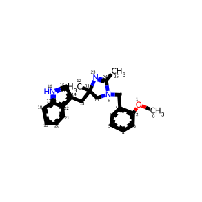 COc1ccccc1CN1CC(C)(Cc2c[nH]c3ccccc23)N=C1C